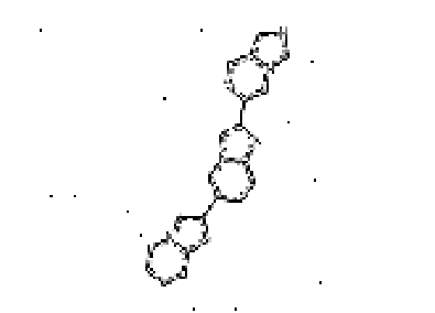 c1ccn2cc(-c3ccc4nc(-c5ccc6cncn6c5)cn4c3)cc2c1